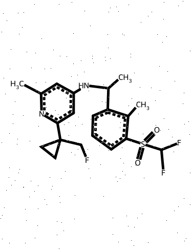 Cc1cc(NC(C)c2cccc(S(=O)(=O)C(F)F)c2C)cc(C2(CF)CC2)n1